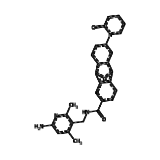 Cc1cc(N)nc(C)c1CNC(=O)c1ccc2c(c1)c1oc2c2cc(-n3ccccc3=O)ccc21